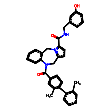 Cc1ccccc1-c1ccc(C(=O)N2Cc3ccc(C(=O)NCc4cccc(O)c4)n3Cc3ccccc32)cc1C